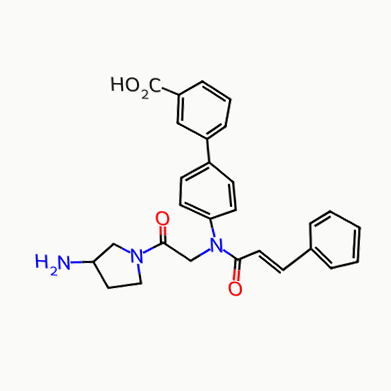 NC1CCN(C(=O)CN(C(=O)C=Cc2ccccc2)c2ccc(-c3cccc(C(=O)O)c3)cc2)C1